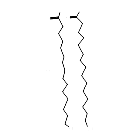 CCCCCCCCCCCCCCCC(=O)[O-].CCCCCCCCCCCCCCCC(=O)[O-].[SnH2+2]